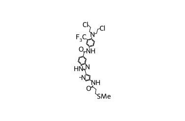 CSCCC(=O)Nc1cc(-c2nc3cc(C(=O)Nc4ccc(N(CCCl)CCCl)c(C(F)(F)F)c4)ccc3[nH]2)n(C)c1